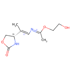 C/C(=C\N=C(/C)OCCO)[C@H]1COC(=O)N1